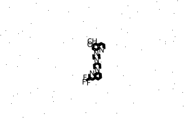 COc1cc(N2CCN(C3CCN(c4cccc5cc(C(F)(F)F)cnc45)CC3)CC2)c2ncccc2c1